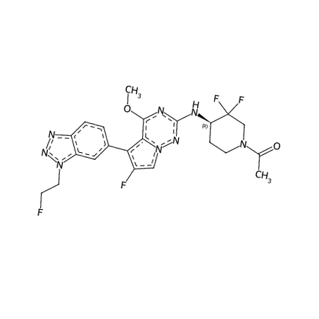 COc1nc(N[C@@H]2CCN(C(C)=O)CC2(F)F)nn2cc(F)c(-c3ccc4nnn(CCF)c4c3)c12